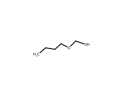 CCCCO[C]O